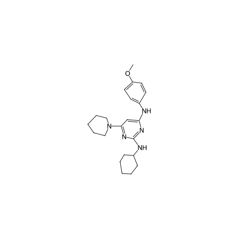 COc1ccc(Nc2cc(N3CCCCC3)nc(NC3CCCCC3)n2)cc1